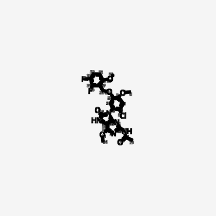 COc1cc(Cl)c(-n2c(=O)[nH]c3c(OC)nc(NC(C)=O)nc32)cc1OCc1c(OC)ccc(F)c1F